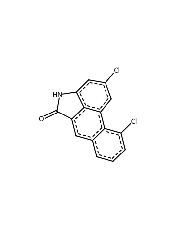 O=C1Nc2cc(Cl)cc3c2c1cc1cccc(Cl)c13